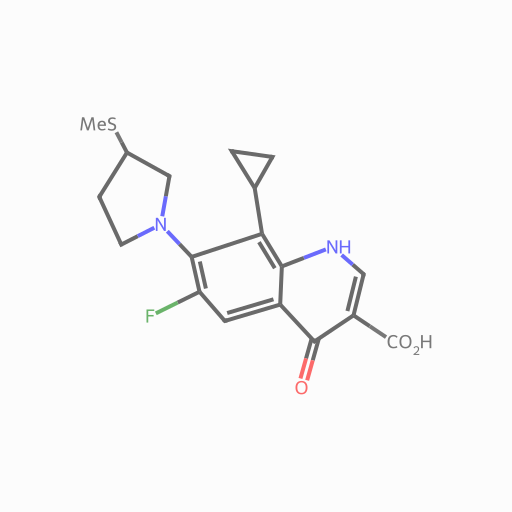 CSC1CCN(c2c(F)cc3c(=O)c(C(=O)O)c[nH]c3c2C2CC2)C1